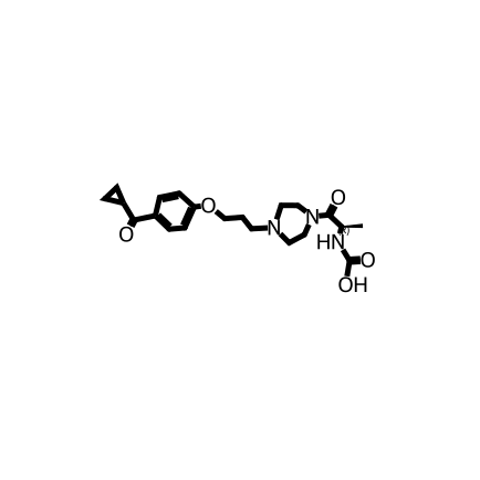 C[C@@H](NC(=O)O)C(=O)N1CCN(CCCOc2ccc(C(=O)C3CC3)cc2)CC1